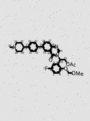 COCOc1ccc(F)cc1C(COC(C)=O)n1cnc2ccc(-c3ccc(C4CCN(C)CC4)cc3)cc2c1=O